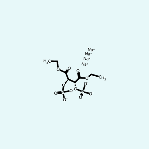 CCOC(=O)[C@H](OP(=O)([O-])[O-])[C@@H](OP(=O)([O-])[O-])C(=O)OCC.[Na+].[Na+].[Na+].[Na+]